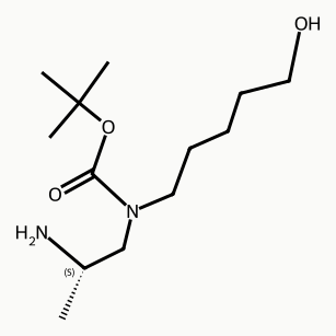 C[C@H](N)CN(CCCCCO)C(=O)OC(C)(C)C